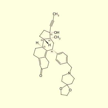 CC#C[C@]1(O)CC[C@H]2[C@@H]3CCC4=CC(=O)CCC4=C3[C@@H](c3ccc(CN4CCC5(CC4)OCCO5)cc3)C[C@@]21C